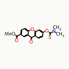 COC(=O)c1ccc2oc3cc(OC(=S)N(C)C)ccc3c(=O)c2c1